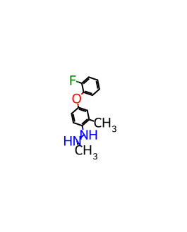 CNNc1ccc(Oc2ccccc2F)cc1C